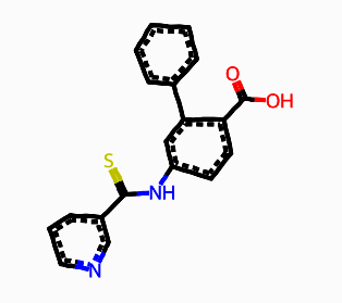 O=C(O)c1ccc(NC(=S)c2cccnc2)cc1-c1ccccc1